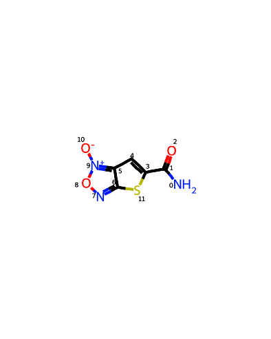 NC(=O)c1cc2c(no[n+]2[O-])s1